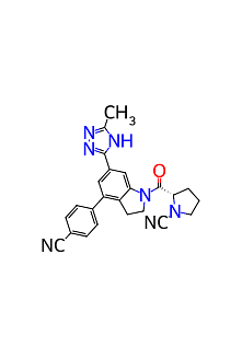 Cc1nnc(-c2cc(-c3ccc(C#N)cc3)c3c(c2)N(C(=O)[C@@H]2CCCN2C#N)CC3)[nH]1